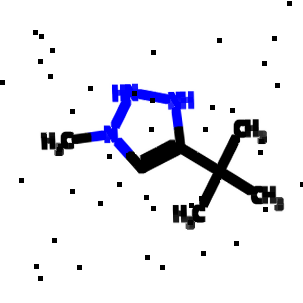 CN1C=C(C(C)(C)C)NN1